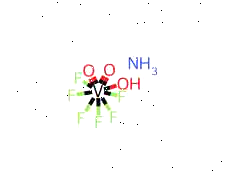 N.[O]=[V](=[O])([OH])([F])([F])([F])([F])([F])[F]